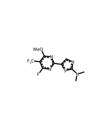 COc1nc(-c2cnc(N(C)C)s2)nc(F)c1C(F)(F)F